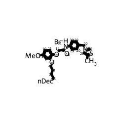 CCCCCCCCCCCCCCOc1cc(OC)ccc1OCC(=O)Nc1ccc(C[n+]2csc(C)c2)cc1.[Br-]